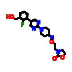 O=C1OCCN1CCON=C1CCN(c2ncc(-c3cccc(CO)c3F)cn2)CC1